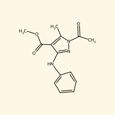 COC(=O)c1c(Nc2ccccc2)nn(C(C)=O)c1C